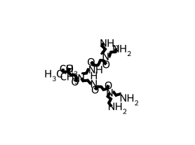 CC(C)(C)C(=O)CCC(=O)N(CCCNC(=O)CCC(=O)N(CCCN)CCCN)CCCNC(=O)CCC(=O)N(CCCN)CCCN